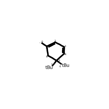 [CH2]C1=CC=CC(C(C)(C)C)(C(C)(C)C)C1